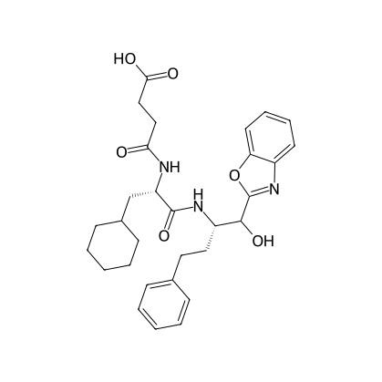 O=C(O)CCC(=O)N[C@@H](CC1CCCCC1)C(=O)N[C@@H](CCc1ccccc1)C(O)c1nc2ccccc2o1